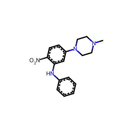 CN1CCN(c2ccc([N+](=O)[O-])c(Nc3ccccc3)c2)CC1